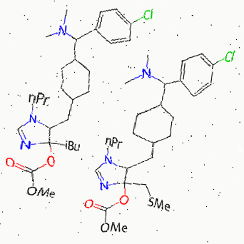 CCCN1C=NC(CSC)(OC(=O)OC)C1CC1CCC(C(c2ccc(Cl)cc2)N(C)C)CC1.CCCN1C=NC(OC(=O)OC)(C(C)CC)C1CC1CCC(C(c2ccc(Cl)cc2)N(C)C)CC1